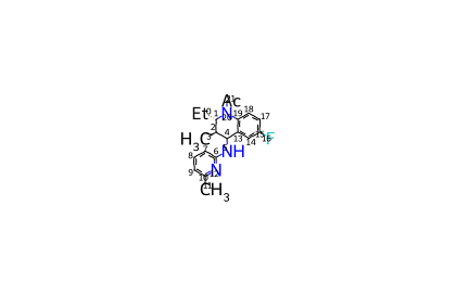 CC[C@H]1[C@H](C)C(Nc2cccc(C)n2)c2cc(F)ccc2N1C(C)=O